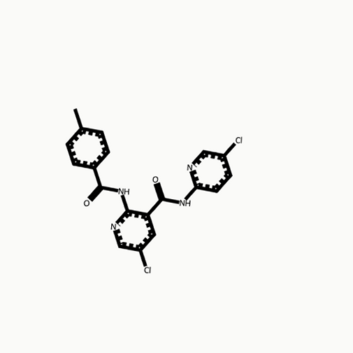 Cc1ccc(C(=O)Nc2ncc(Cl)cc2C(=O)Nc2ccc(Cl)cn2)cc1